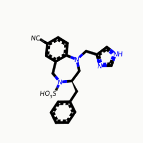 N#Cc1ccc2c(c1)CN(S(=O)(=O)O)[C@H](Cc1ccccc1)CN2Cc1c[nH]cn1